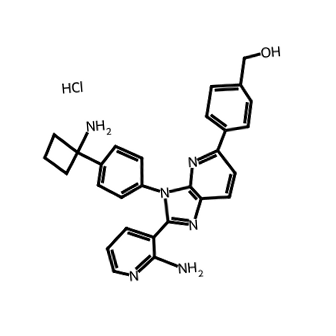 Cl.Nc1ncccc1-c1nc2ccc(-c3ccc(CO)cc3)nc2n1-c1ccc(C2(N)CCC2)cc1